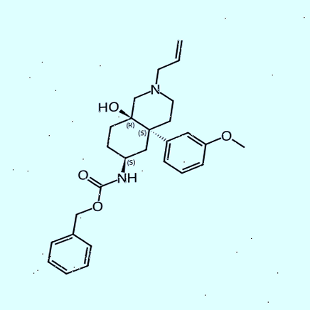 C=CCN1CC[C@@]2(c3cccc(OC)c3)C[C@@H](NC(=O)OCc3ccccc3)CC[C@]2(O)C1